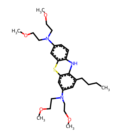 CCCCc1cc(N(CCOC)CCOC)cc2c1Nc1ccc(N(CCOC)CCOC)cc1S2